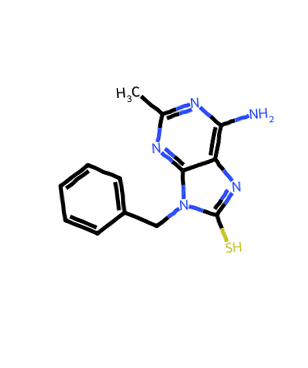 Cc1nc(N)c2nc(S)n(Cc3ccccc3)c2n1